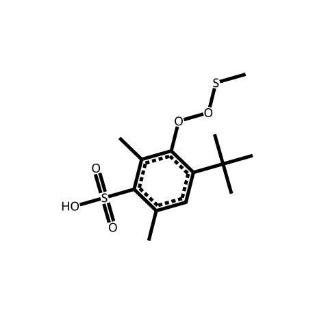 CSOOc1c(C(C)(C)C)cc(C)c(S(=O)(=O)O)c1C